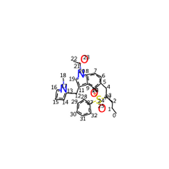 CCC[C@H](Cc1ccc2c(c1)c(Cc1cccn1C)cn2C(C)=O)S(=O)(=O)c1ccccc1